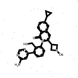 N#CN1CC(c2cc3cc(C4CC4)ccc3c(=O)n2-c2cccc(-c3cc(N)ncn3)c2CO)C1